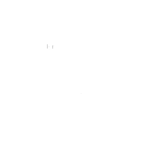 CCC=CCC1C(C)=CCCC1(C)C